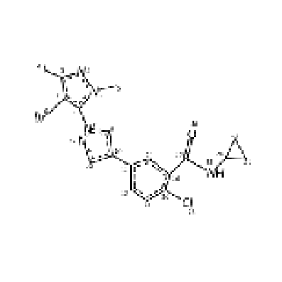 Cn1nc(I)c(Br)c1-n1cc(-c2ccc(Cl)c(C(=O)NC3CC3)c2)cn1